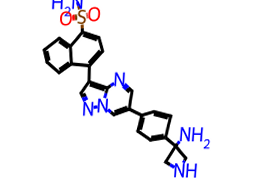 NC1(c2ccc(-c3cnc4c(-c5ccc(S(N)(=O)=O)c6ccccc56)cnn4c3)cc2)CNC1